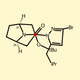 CC(C)Cc1cc(Br)nn1C1C[C@H]2CC[C@@H](C1)N2C(=O)OC(C)(C)C